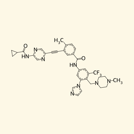 Cc1ccc(C(=O)Nc2cc(-n3ccnc3)c(CN3CCN(C)CC3)c(C(F)(F)F)c2)cc1C#Cc1cnc(NC(=O)C2CC2)cn1